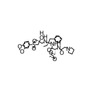 CC[C@](Cc1ccccc1)(NC[C@@](C)(O)CS(=O)(=O)c1ccc2c(c1)OCO2)NC(=O)[C@@H](CS(C)(=O)=O)NC(=O)CN1CCCC1